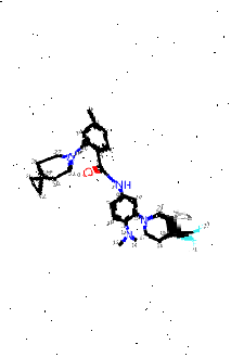 Cc1ccc(C(=O)Nc2ccc(N(C)C)c(N3CCC(F)(F)CC3)c2)c(N2CCC3(CC2)CC3)c1